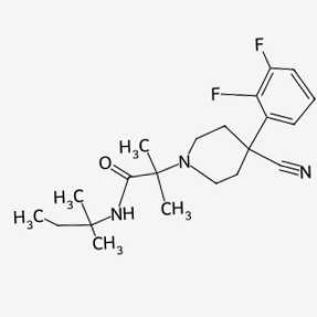 CCC(C)(C)NC(=O)C(C)(C)N1CCC(C#N)(c2cccc(F)c2F)CC1